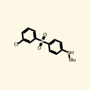 CC(C)(C)Nc1ccc(S(=O)(=O)c2cccc(Cl)c2)cc1